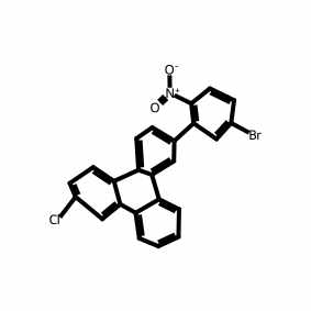 O=[N+]([O-])c1ccc(Br)cc1-c1ccc2c3ccc(Cl)cc3c3ccccc3c2c1